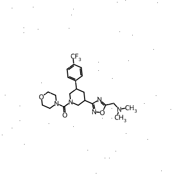 CN(C)Cc1nc(C2CC(c3ccc(C(F)(F)F)cc3)CN(C(=O)N3CCOCC3)C2)no1